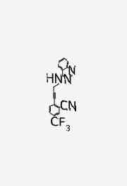 N#Cc1cc(C(F)(F)F)ccc1C#CCCNc1ncnc2ccccc12